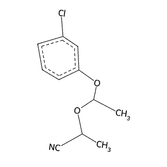 CC(C#N)OC(C)Oc1cccc(Cl)c1